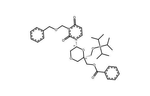 CC(C)[Si](OC[C@]1(COC(=O)c2ccccc2)COC[C@H](n2ccc(=O)n(COCc3ccccc3)c2=O)O1)(C(C)C)C(C)C